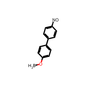 BOc1ccc(-c2ccc(N=O)cc2)cc1